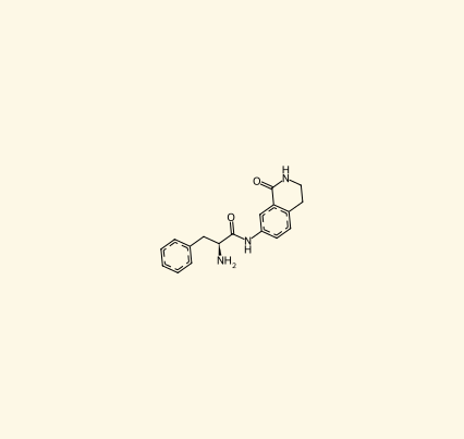 N[C@@H](Cc1ccccc1)C(=O)Nc1ccc2c(c1)C(=O)NCC2